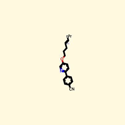 CCC/C=C/CCCOc1ccc(-c2ccc(C#N)cc2)nc1